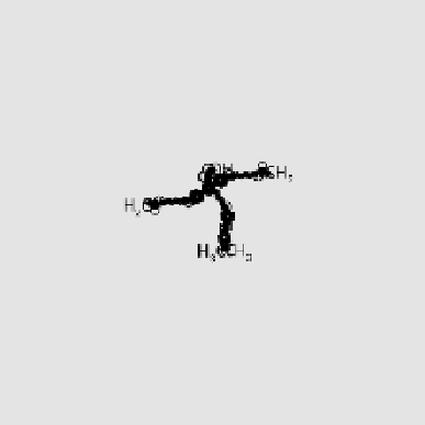 C=CC(=O)OCCCCCCOc1ccc(-c2cc(CCCCOc3ccc(N=Nc4ccc(N(C)C)cc4)cc3)c(-c3ccc(OCCCCCCOC(=O)C=C)cc3)c(C(=O)OC(=O)O)c2)cc1